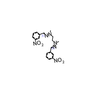 CN(CCN(C)/N=C/c1cccc([N+](=O)[O-])c1)/N=C/c1cccc([N+](=O)[O-])c1